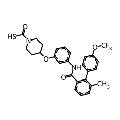 Cc1cccc(C(=O)Nc2cccc(OC3CCN(C(=O)S)CC3)c2)c1-c1ccc(OC(F)(F)F)cc1